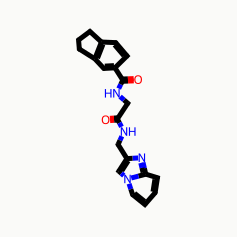 O=C(CNC(=O)c1ccc2c(c1)CCC2)NCc1cn2ccccc2n1